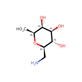 NC[C@H]1O[C@@H](C(=O)O)[C@@H](O)[C@@H](O)[C@@H]1O